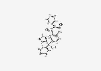 Cn1cncc1C(O)(c1ccnnc1)c1ccc2nc(Cl)c(-c3ccccc3)c(Cl)c2c1